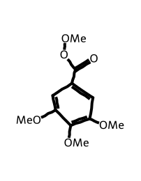 [CH2]OOC(=O)c1cc(OC)c(OC)c(OC)c1